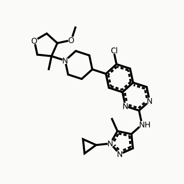 COC1COCC1(C)N1CCC(c2cc3nc(Nc4cnn(C5CC5)c4C)ncc3cc2Cl)CC1